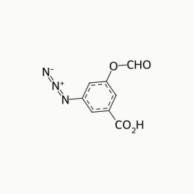 [N-]=[N+]=Nc1cc(OC=O)cc(C(=O)O)c1